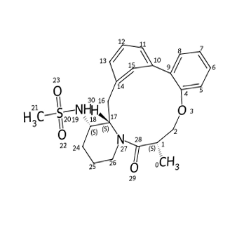 C[C@H]1COc2ccccc2-c2cccc(c2)C[C@H]2[C@@H](NS(C)(=O)=O)CCCN2C1=O